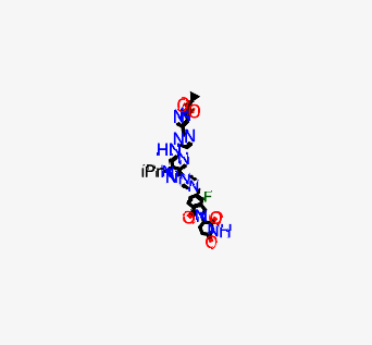 CC(C)n1nc(N2CCN(Cc3ccc4c(c3F)CN(C3CCC(=O)NC3=O)C4=O)CC2)c2cnc(Nc3ccnc(-c4cnn(S(=O)(=O)C5CC5)c4)n3)cc21